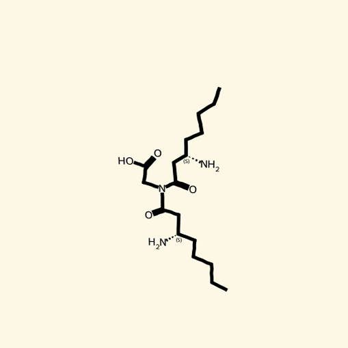 CCCCC[C@H](N)CC(=O)N(CC(=O)O)C(=O)C[C@@H](N)CCCCC